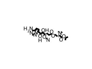 CC(C)OC(=O)[C@H](CCOC(=O)CC[C@@H](OC#N)[C@@H](O)[C@@H](O)c1ccc2c(N)ncnn12)N(C)C